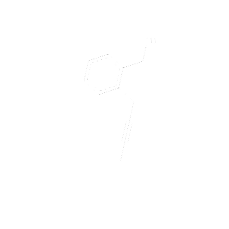 CC#CCc1ccccc1CO